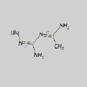 C/C(N)=N\C(N)=N/C(C)(C)C